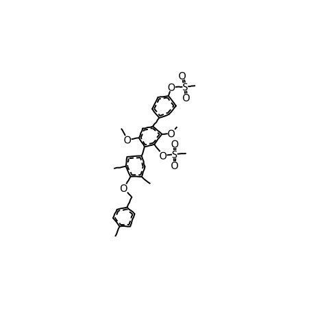 COc1cc(-c2ccc(OS(C)(=O)=O)cc2)c(OC)c(OS(C)(=O)=O)c1-c1cc(C)c(OCc2ccc(C)cc2)c(C)c1